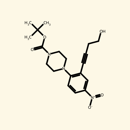 CC(C)(C)OC(=O)N1CCN(c2ccc([N+](=O)[O-])cc2C#CCCO)CC1